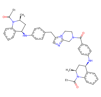 CCC(=O)N1c2ccccc2[C@H](Nc2ccc(Cc3cnc4n3CCN(C(=O)c3ccc(N[C@@H]5C[C@H](C)N(C(=O)CC)c6ccccc65)cc3)C4)cc2)C[C@@H]1C